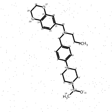 CCCN(Cc1ccc(N2CCN([S+](C)[O-])CC2)cc1)Cc1ccc2c(c1)OCCO2